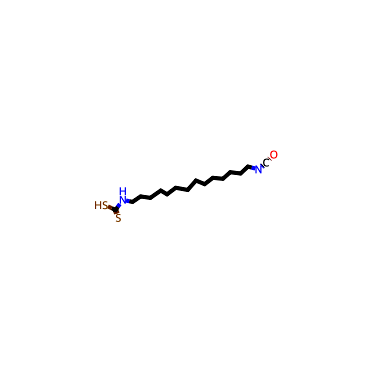 O=C=NCCCCCCCCCCCCCCNC(=S)S